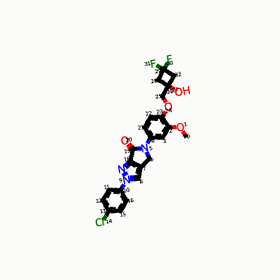 COc1cc(N2Cc3cn(-c4ccc(Cl)cc4)nc3C2=O)ccc1OCC1(O)CC(F)(F)C1